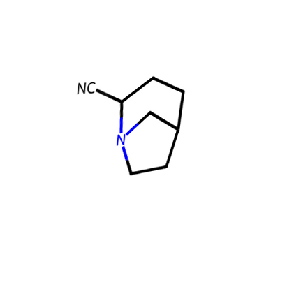 N#CC1CCC2CCN1C2